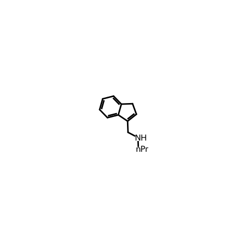 CCCNCC1=CCc2ccccc21